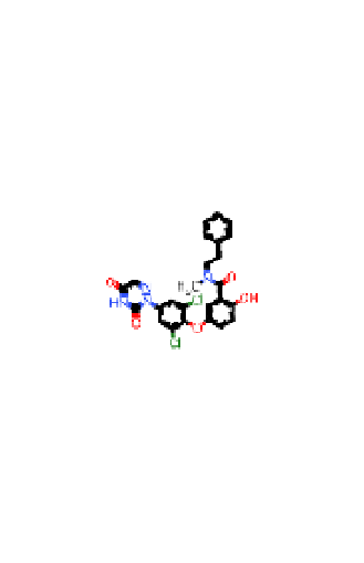 CN(CCc1ccccc1)C(=O)c1cc(Oc2c(Cl)cc(-n3ncc(=O)[nH]c3=O)cc2Cl)ccc1O